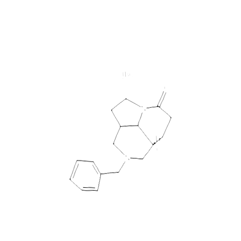 CC(C)(C)[C@H]1CC2CN(Cc3ccccc3)C[C@H]3CCC(=O)N1C23